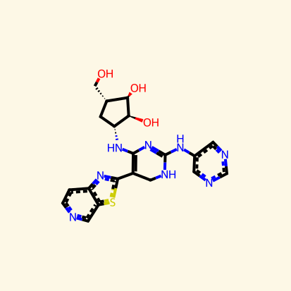 OC[C@H]1C[C@@H](NC2=C(c3nc4ccncc4s3)CNC(Nc3cncnc3)=N2)[C@H](O)[C@@H]1O